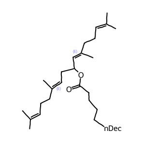 CCCCCCCCCCCCCCC(=O)OC(/C=C(\C)CCC=C(C)C)C/C=C(\C)CCC=C(C)C